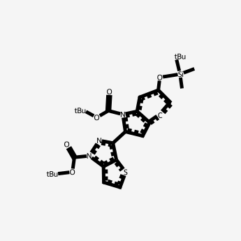 CC(C)(C)OC(=O)n1nc(-c2cc3ccc(O[Si](C)(C)C(C)(C)C)cc3n2C(=O)OC(C)(C)C)c2sccc21